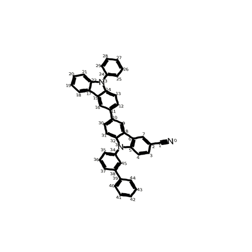 N#Cc1ccc2c(c1)c1cc(-c3ccc4c(c3)c3ccccc3n4-c3ccccc3)ccc1n2-c1cccc(-c2ccccc2)c1